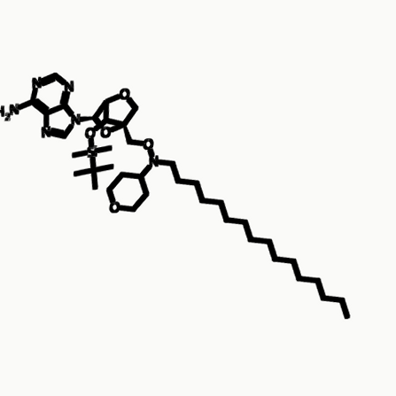 CCCCCCCCCCCCCCCCN(OC[C@]12COC(C1O[Si](C)(C)C(C)(C)C)[C@H](n1cnc3c(N)ncnc31)O2)C1CCOCC1